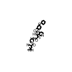 CNC(C)(C)/C=C(\C#N)C(=O)N1CCC[C@@H](NC(=O)c2sc3nccc4c3c2NC(=O)N4c2ccc(Oc3ccccc3)cc2C)C1